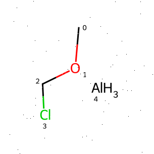 COCCl.[AlH3]